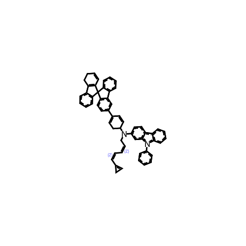 C1=CC2=C(CC1)c1ccccc1C21c2ccccc2-c2cc(C3=CCC(N(C/C=C\C=C/C4=CC4)c4ccc5c6ccccc6n(-c6ccccc6)c5c4)C=C3)ccc21